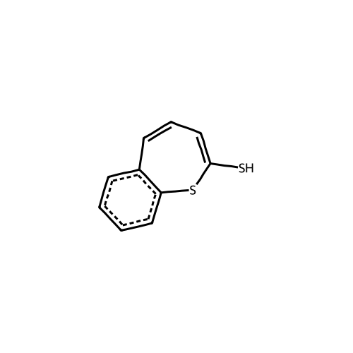 SC1=CC=Cc2ccccc2S1